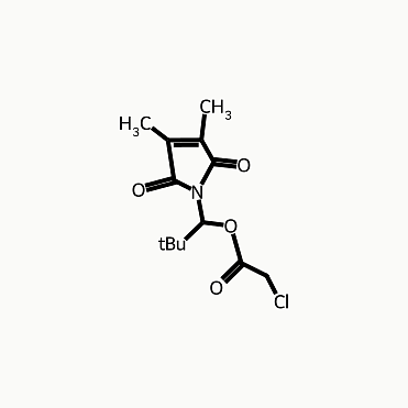 CC1=C(C)C(=O)N(C(OC(=O)CCl)C(C)(C)C)C1=O